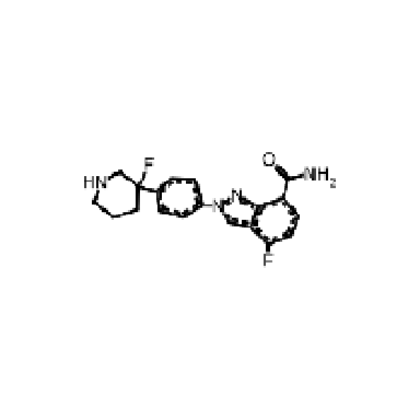 NC(=O)c1ccc(F)c2cn(-c3ccc([C@]4(F)CCCNC4)cc3)nc12